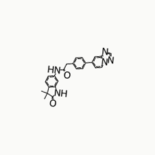 CC1(C)C(=O)Nc2cc(NC(=O)Cc3ccc(-c4ccn5ncnc5c4)cc3)ccc21